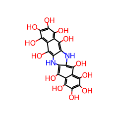 Oc1c(O)c(O)c2c(O)c3c(c(O)c2c1O)Nc1c(c(O)c2c(O)c(O)c(O)c(O)c2c1O)N3